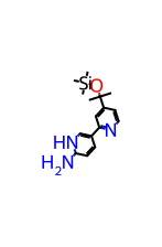 CC(C)(O[Si](C)(C)C)c1ccnc(C2=CNC(N)C=C2)c1